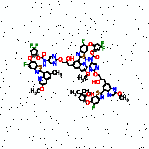 COc1cnc2c(-c3nc4cc(F)c(O[C@@H]5CC(F)(F)C[C@@H]5OC(=O)Nc5cnc(OCC(O)Cc6cc(-c7nc8cc(F)c(O[C@H]9CC(F)(F)C[C@H]9OC(=O)Nc9cnc(OCC(O)Cc%10cc(-c%11nc%12cc(F)c(O[C@@H]%13CCC(C)(C)[C@@H]%13O)cc%12s%11)c%11ncc(OC)nc%11c%10)nc9)cc8s7)c7ncc(OC)cc7c6)nc5)cc4s3)cc(C)cc2c1